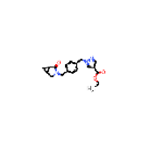 CCOC(=O)c1cnn(Cc2ccc(CN3CC4CC4C3=O)cc2)c1